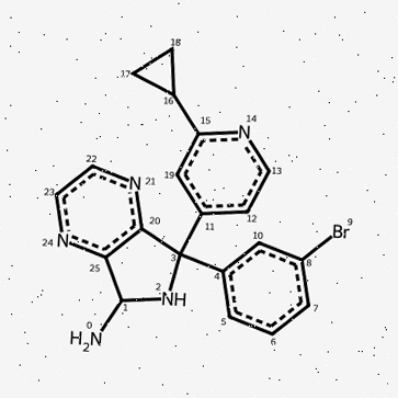 NC1NC(c2cccc(Br)c2)(c2ccnc(C3CC3)c2)c2nccnc21